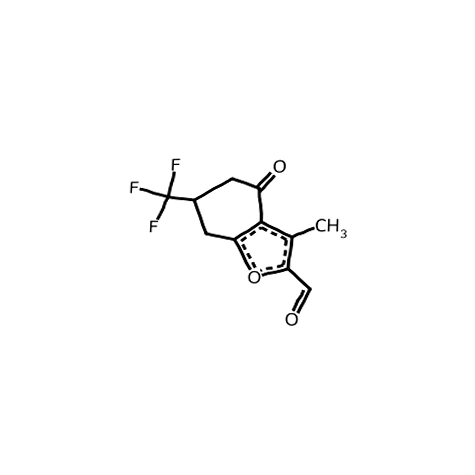 Cc1c(C=O)oc2c1C(=O)CC(C(F)(F)F)C2